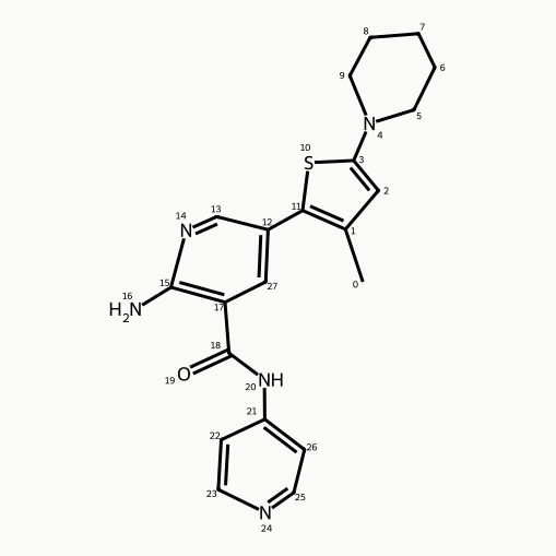 Cc1cc(N2CCCCC2)sc1-c1cnc(N)c(C(=O)Nc2ccncc2)c1